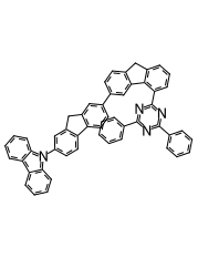 c1ccc(-c2nc(-c3ccccc3)nc(-c3cccc4c3-c3cc(-c5ccc6c(c5)Cc5cc(-n7c8ccccc8c8ccccc87)ccc5-6)ccc3C4)n2)cc1